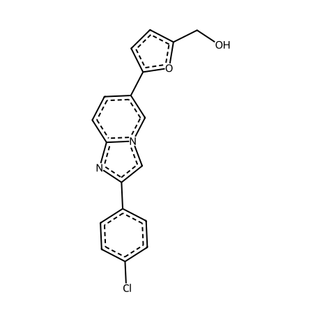 OCc1ccc(-c2ccc3nc(-c4ccc(Cl)cc4)cn3c2)o1